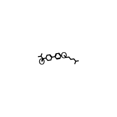 CC(C)CCCCOc1ccc(C2=CCC(C(=O)C(C)C)CC2)cc1